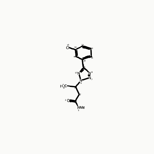 CNC(=O)CC(C)n1nnc(-c2cccc(Cl)c2)n1